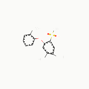 COc1ccccc1Oc1cc(C)c(C(=O)O)cc1S(C)(=O)=O